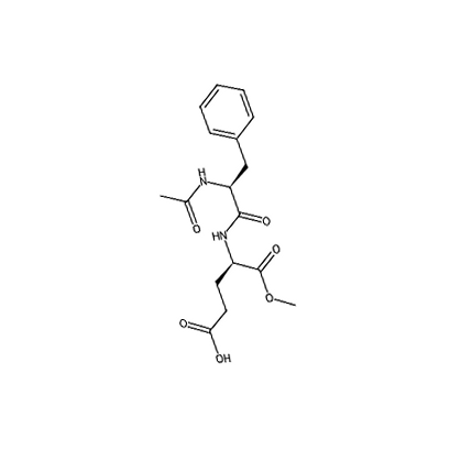 COC(=O)[C@@H](CCC(=O)O)NC(=O)[C@H](Cc1ccccc1)NC(C)=O